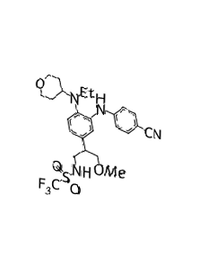 CCN(c1ccc(C(CNS(=O)(=O)C(F)(F)F)COC)cc1Nc1ccc(C#N)cc1)C1CCOCC1